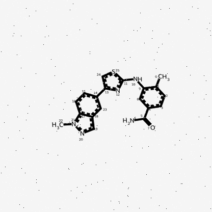 Cc1ccc(C(N)=O)cc1Nc1nc(-c2ccc3c(cnn3C)c2)cs1